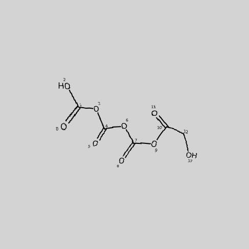 O=C(O)OC(=O)OC(=O)OC(=O)CO